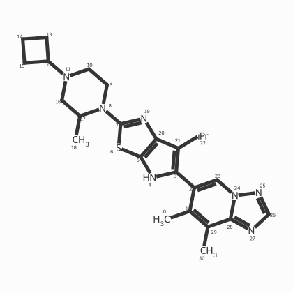 Cc1c(-c2[nH]c3sc(N4CCN(C5CCC5)CC4C)nc3c2C(C)C)cn2ncnc2c1C